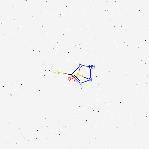 O=S1(=O)N2N=C(S)N1N2